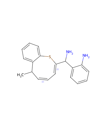 CC1/C=C\C=C(\C(N)c2ccccc2N)Sc2ccccc21